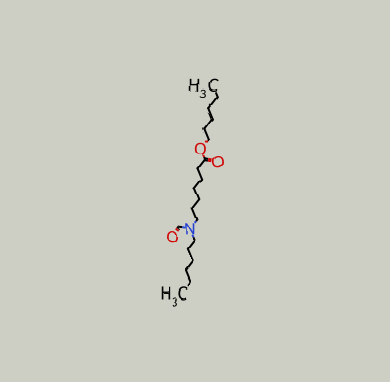 CCCCCCOC(=O)CCCCCCN(C=O)CCCCCC